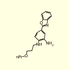 CCCOCCCNc1ccc(-c2nc3ccccc3o2)cc1N